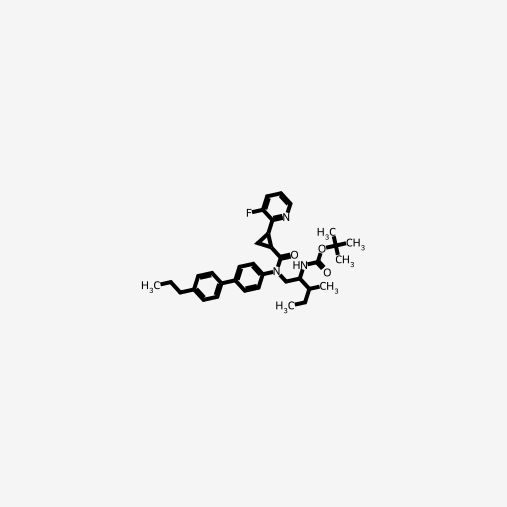 CCCc1ccc(-c2ccc(N(CC(NC(=O)OC(C)(C)C)C(C)CC)C(=O)C3CC3c3ncccc3F)cc2)cc1